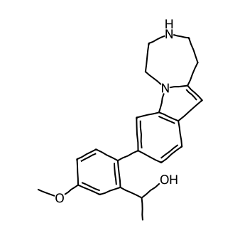 COc1ccc(-c2ccc3cc4n(c3c2)CCNCC4)c(C(C)O)c1